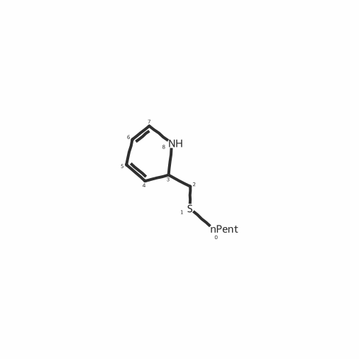 CCCCCSCC1C=CC=CN1